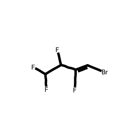 FC(=CBr)C(F)C(F)F